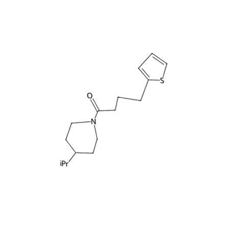 CC(C)C1CCN(C(=O)CCCc2cccs2)CC1